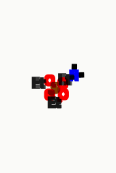 CCN(C)C.CCOS(=O)(=O)OCC